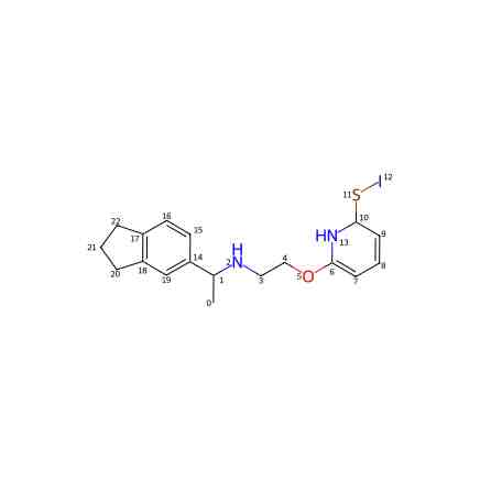 CC(NCCOC1=CC=CC(SI)N1)c1ccc2c(c1)CCC2